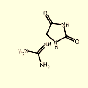 N=C(N)N.O=C1CNC(=O)N1